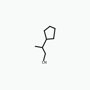 CC(CC#N)C1CCCC1